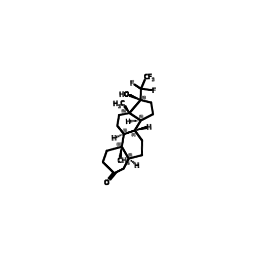 C[C@]12CCC(=O)C[C@@H]1CC[C@@H]1[C@@H]2CC[C@@]2(C)[C@H]1CC[C@@]2(O)C(F)(F)C(F)(F)F